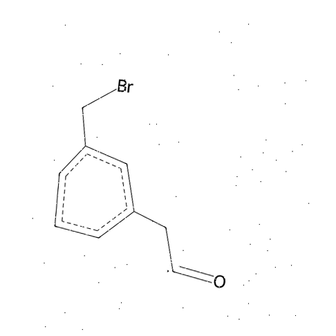 O=[C]Cc1cccc(CBr)c1